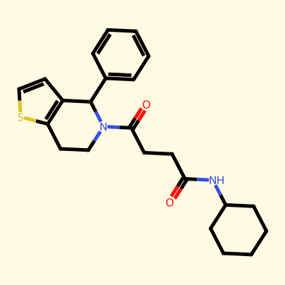 O=C(CCC(=O)N1CCc2sccc2C1c1ccccc1)NC1CCCCC1